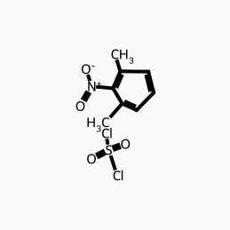 Cc1cccc(C)c1[N+](=O)[O-].O=S(=O)(Cl)Cl